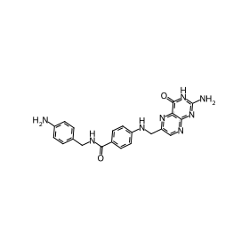 Nc1ccc(CNC(=O)c2ccc(NCc3cnc4nc(N)[nH]c(=O)c4n3)cc2)cc1